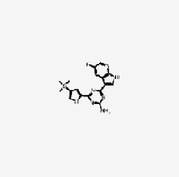 C[Si](C)(C)c1coc(-c2nc(N)nc(-c3c[nH]c4ncc(F)cc34)n2)c1